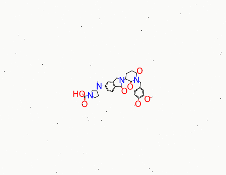 COc1ccc(CN2C(=O)CCC(N3Cc4cc(N(C)[C@@H]5CCN(C(=O)O)C5)ccc4C3=O)C2=O)cc1OC